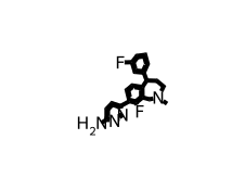 CN1CCC(c2cccc(F)c2)c2ccc(-c3ccc(N)nn3)c(F)c2C1